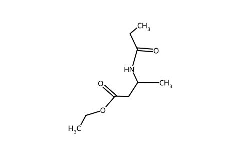 CCOC(=O)CC(C)NC(=O)CC